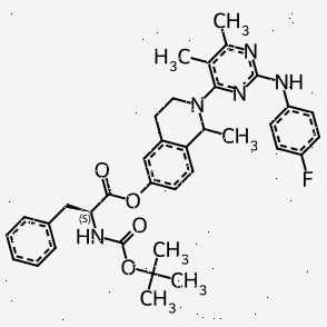 Cc1nc(Nc2ccc(F)cc2)nc(N2CCc3cc(OC(=O)[C@H](Cc4ccccc4)NC(=O)OC(C)(C)C)ccc3C2C)c1C